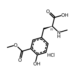 CN[C@@H](Cc1ccc(O)c(C(=O)OC)c1)C(=O)O.Cl